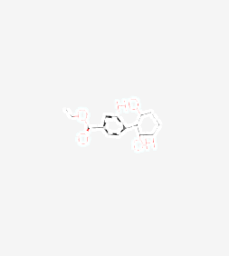 CCOC(=O)c1ccc(C2C(O)CCCC2O)cc1